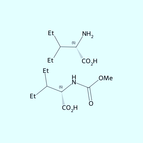 CCC(CC)[C@H](N)C(=O)O.CCC(CC)[C@H](NC(=O)OC)C(=O)O